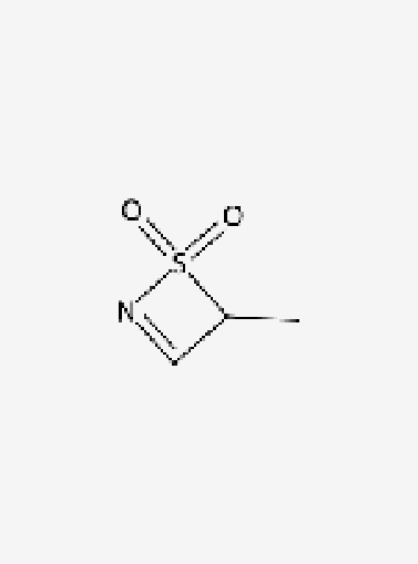 CC1C=NS1(=O)=O